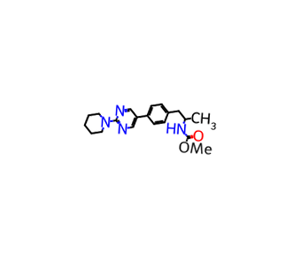 COC(=O)NC(C)Cc1ccc(-c2cnc(N3CCCCC3)nc2)cc1